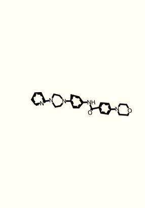 O=C(Nc1ccc(N2CCN(c3ccccn3)CC2)cc1)c1ccc(N2CCOCC2)cc1